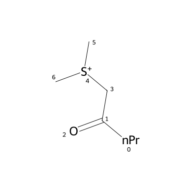 CCCC(=O)C[S+](C)C